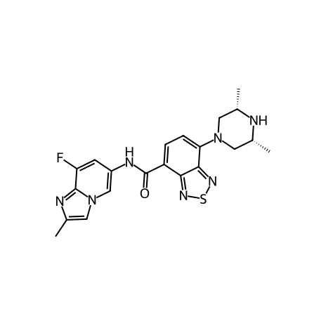 Cc1cn2cc(NC(=O)c3ccc(N4C[C@@H](C)N[C@@H](C)C4)c4nsnc34)cc(F)c2n1